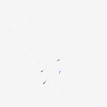 COC(=O)c1ccc(C2C[C@H]3[C@@H](N2)[C@H](c2cccc(Cl)c2I)[C@]2(C(=O)Nc4cc(Cl)ccc42)N3CC2CC2)c(N)c1